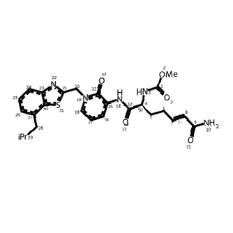 COC(=O)N[C@@H](CC/C=C/C(N)=O)C(=O)Nc1cccn(Cc2nc3cccc(CC(C)C)c3s2)c1=O